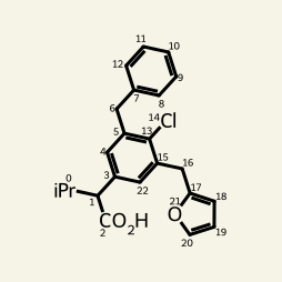 CC(C)C(C(=O)O)c1cc(Cc2ccccc2)c(Cl)c(Cc2ccco2)c1